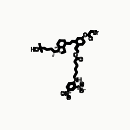 C[C@H](CCCC(C)(C)O)[C@H]1CCC2/C(=C/C=C3/C[C@@H](OC(=O)CBr)CC/C3=C\COC(=O)CCCCCNc3ccc([N+](=O)[O-])cc3[N+](=O)[O-])CCC[C@@]21C